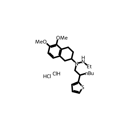 CCCCC(CN(NCC)C1CCc2c(ccc(OC)c2OC)C1)c1cccs1.Cl.Cl